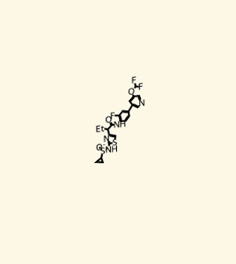 CCC(C(=O)Nc1ccc(-c2cncc(OC(F)F)c2)cc1F)c1csc(N[S+]([O-])C2CC2)n1